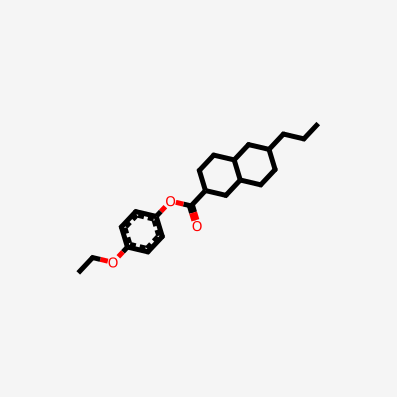 CCCC1CCC2CC(C(=O)Oc3ccc(OCC)cc3)CCC2C1